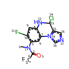 CN(C(=O)C(F)(F)F)c1cc2c(cc1F)NC(Cl)c1cncn1-2